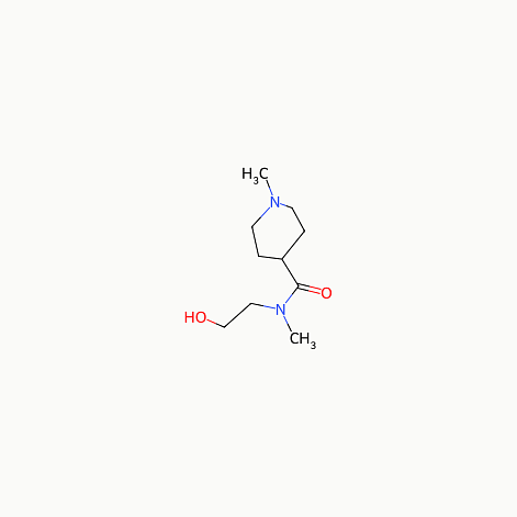 CN1CCC(C(=O)N(C)CCO)CC1